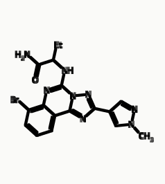 CCC(Nc1nc2c(Br)cccc2c2nc(-c3cnn(C)c3)nn12)C(N)=O